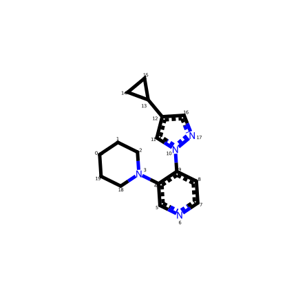 [CH]1CCN(c2cnccc2-n2cc(C3CC3)cn2)CC1